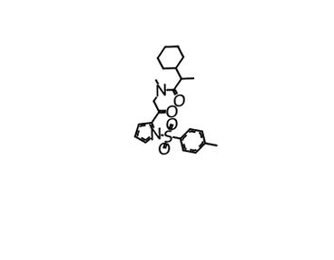 Cc1ccc(S(=O)(=O)n2cccc2C(=O)CN(C)C(=O)C(C)C2CCCCC2)cc1